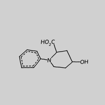 O=C(O)C1CC(O)CCN1c1ccccc1